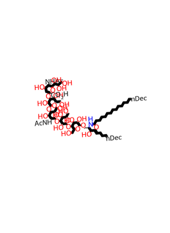 CCCCCCCCCCCCC/C=C/[C@@H](O)[C@H](CO[C@@H]1OC(CO)[C@@H](O[C@@H]2OC(CO)[C@H](O)[C@H](O[C@@H]3OC(CO)[C@@H](O[C@@H]4OC(CO)[C@H](O)[C@H](O[C@]5(C(=O)O)CC(O)[C@@H](NC(C)=O)C([C@H](O)[C@H](O)CO)O5)C4O)[C@H](O)C3NC(C)=O)C2O)[C@H](O)C1O)NC(=O)CCCCCCCCCCCCCCCCCCCCCCC